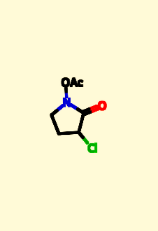 CC(=O)ON1CCC(Cl)C1=O